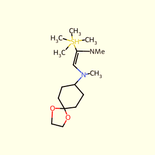 CN/C(=C\N(C)C1CCC2(CC1)OCCO2)[SH](C)(C)(C)C